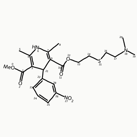 COC(=O)C1=C(C)NC(C)=C(C(=O)OCCSCCN(C)C)C1c1cccc([N+](=O)[O-])c1